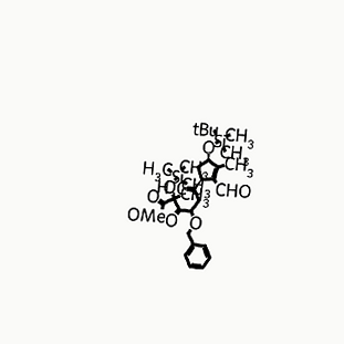 C=C(CC(OCc1ccccc1)C(=O)C(C)(O[Si](C)(C)C)C(=O)OC)[C@H]1C[C@@H](O[Si](C)(C)C(C)(C)C)C(C)=C1C=O